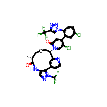 C[C@@H]1CCC[C@H](n2cc(Cl)c(-c3cc(Cl)ccc3-n3cc(C(F)(F)F)nn3)cc2=O)c2cc(ccn2)-c2c(cnn2C(F)F)NC1=O